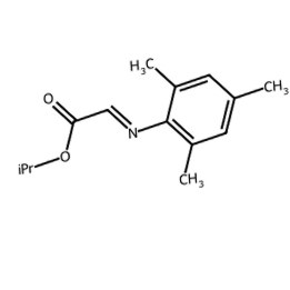 Cc1cc(C)c(N=CC(=O)OC(C)C)c(C)c1